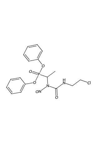 CC(N(N=O)C(=O)NCCCl)P(=O)(Oc1ccccc1)Oc1ccccc1